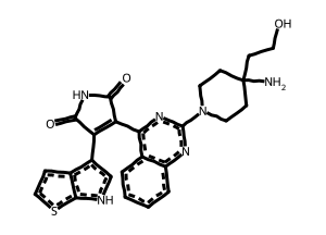 NC1(CCO)CCN(c2nc(C3=C(c4c[nH]c5sccc45)C(=O)NC3=O)c3ccccc3n2)CC1